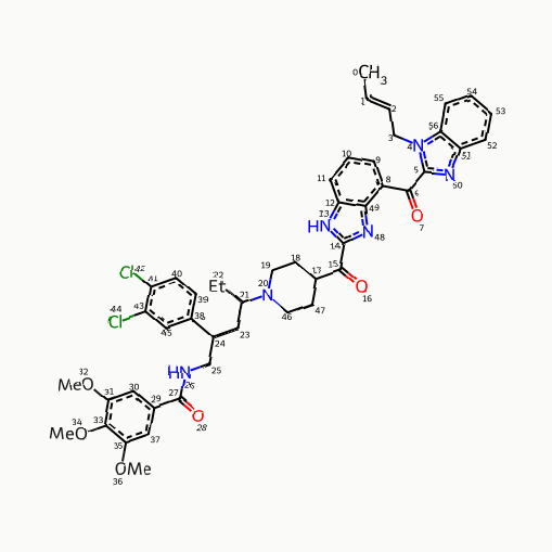 CC=CCn1c(C(=O)c2cccc3[nH]c(C(=O)C4CCN(C(CC)CC(CNC(=O)c5cc(OC)c(OC)c(OC)c5)c5ccc(Cl)c(Cl)c5)CC4)nc23)nc2ccccc21